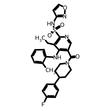 CCc1c(S(=O)(=O)Nc2ccon2)ncc(C(=O)N2CCC(c3ccc(F)cc3)CC2)c1Nc1ccccc1C